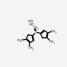 Cl.Cl.[CH2]=[Ti]([C]1=CC(C)=C(C)C1)[C]1=CC(C)=C(C)C1